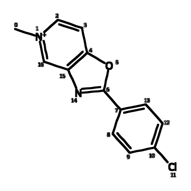 C[n+]1ccc2oc(-c3ccc(Cl)cc3)nc2c1